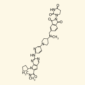 CN(C)C(=O)c1cc2cnc(Nc3ccc(N4CCC(N(C)Cc5ccc6c(c5)C(=O)N(N5CCC(=O)NC5=O)C6=O)CC4)cn3)nc2n1C1CCCC1